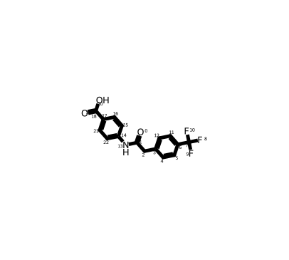 O=C(Cc1ccc(C(F)(F)F)cc1)Nc1ccc(C(=O)O)cc1